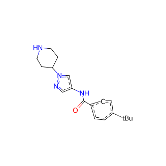 CC(C)(C)c1ccc(C(=O)Nc2cnn(C3CCNCC3)c2)cc1